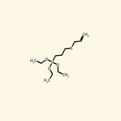 C=CCSCCC[Si](OCC)(OCC)OCC